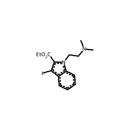 CCOC(=O)c1c(I)c2ccccc2n1CCN(C)C